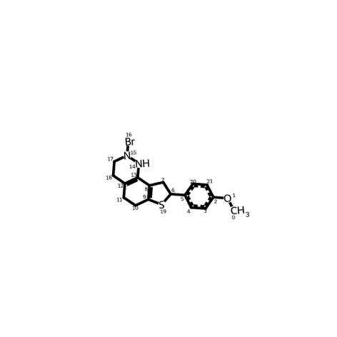 COc1ccc(C2CC3=C(CCC4=C3NN(Br)CC4)S2)cc1